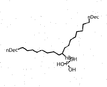 CCCCCCCCCCCCCCCCCCC(CCCC)CCCCCCCCCCCCCCCCCC.OP(O)O